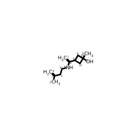 C=C(C)CCNC(=C)C1CC(C)(O)C1